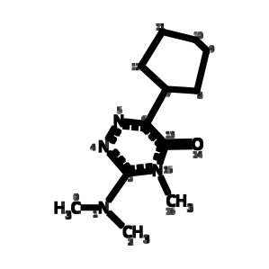 CN(C)c1nnc(C2CCCCC2)c(=O)n1C